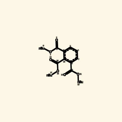 CCCCOC(=O)c1cccc(C(=O)OCCCC)c1C(=O)OCCCC